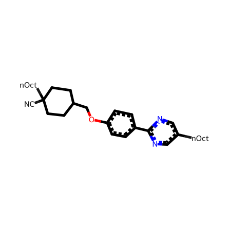 CCCCCCCCc1cnc(-c2ccc(OCC3CCC(C#N)(CCCCCCCC)CC3)cc2)nc1